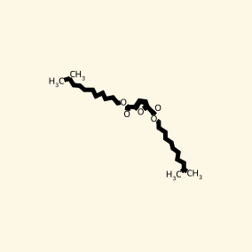 CC(C)CCCCCCCCCOC(=O)c1ccc(C(=O)OCCCCCCCCCC(C)C)o1